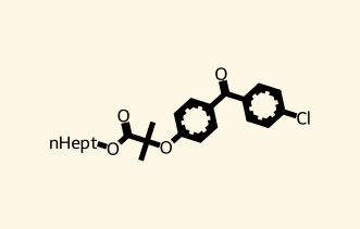 CCCCCCCOC(=O)C(C)(C)Oc1ccc(C(=O)c2ccc(Cl)cc2)cc1